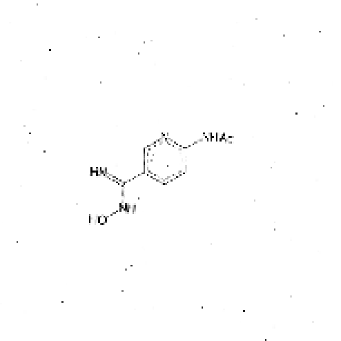 CC(=O)Nc1ccc(C(=N)NO)cn1